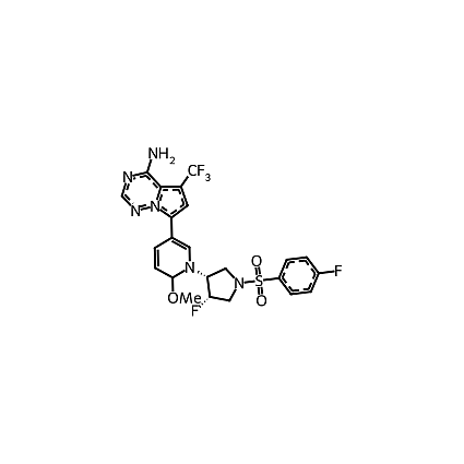 COC1C=CC(c2cc(C(F)(F)F)c3c(N)ncnn23)=CN1[C@@H]1CN(S(=O)(=O)c2ccc(F)cc2)C[C@@H]1F